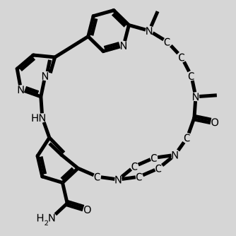 CN1CCCN(C)c2ccc(cn2)-c2ccnc(n2)Nc2ccc(C(N)=O)c(c2)CN2CCN(CC2)CC1=O